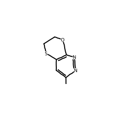 Cc1cc2c(nn1)OCCS2